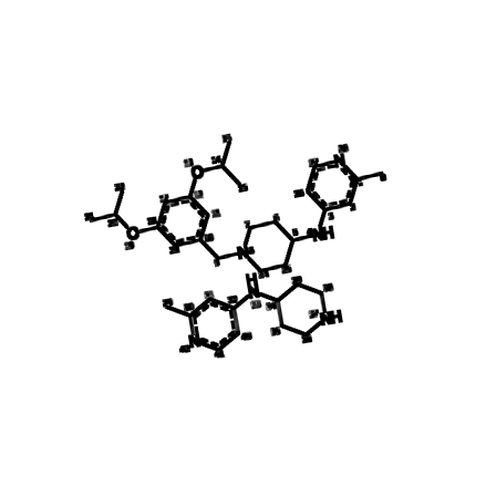 Cc1cc(NC2CCN(Cc3cc(OC(C)C)cc(OC(C)C)c3)CC2)ccn1.Cc1cc(NC2CCNCC2)ccn1